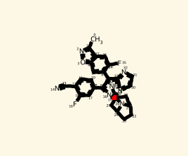 Cc1noc2cc(-c3c(-c4ccc(C#N)c(F)c4)nc(N4C5CCC4CC(N)C5)n4ccnc34)c(F)cc12